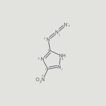 [N-]=[N+]=Nc1nc([N+](=O)[O-])n[nH]1